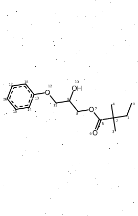 CCC(C)(C)C(=O)OCC(O)COc1ccccc1